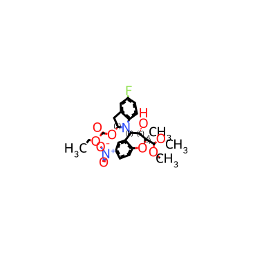 CCOC(=O)O[C@H]1Cc2cc(F)ccc2N1[C@@H]1c2cc([N+](=O)[O-])ccc2O[C@](C)(C(OC)OC)[C@H]1O